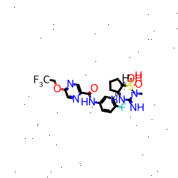 CN1C(=N)N[C@@]2(c3cc(NC(=O)c4cnc(OCC(F)(F)F)cn4)ccc3F)CCC[C@H]2S1(O)O